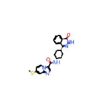 CSc1ccn2c(C(=O)N[C@H]3CC[C@H](c4n[nH]c(=O)c5ccccc54)CC3)cnc2c1